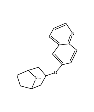 CN1C2CCC1CC(Oc1ccc3ncccc3c1)C2